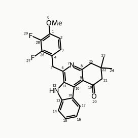 COc1ccc(Cc2nc3c(c4c2[nH]c2ccccc24)C(=O)CC(C)(C)C3)c(F)c1F